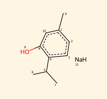 Cc1ccc(C(C)C)c(O)c1.[NaH]